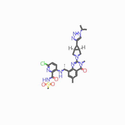 Cc1cc([C@@H](C)Nc2ccc(Cl)nc2C(=O)NS(C)(=O)=O)c2nc(N3C[C@@H]4C(c5cn(C(C)C)nn5)[C@@H]4C3)n(C)c(=O)c2c1